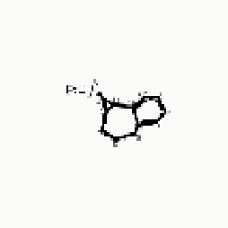 CCOC(=O)C1C2CCCc3ccccc3C21